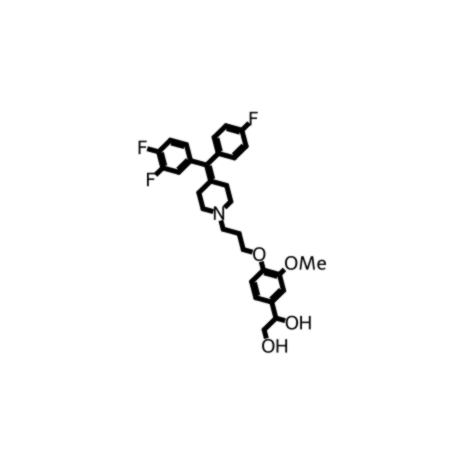 COc1cc(C(O)CO)ccc1OCCCN1CCC(=C(c2ccc(F)cc2)c2ccc(F)c(F)c2)CC1